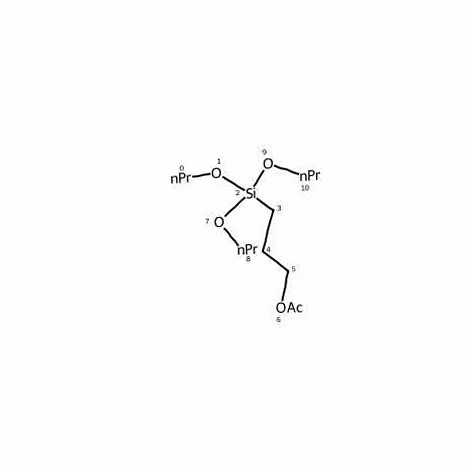 CCCO[Si](CCCOC(C)=O)(OCCC)OCCC